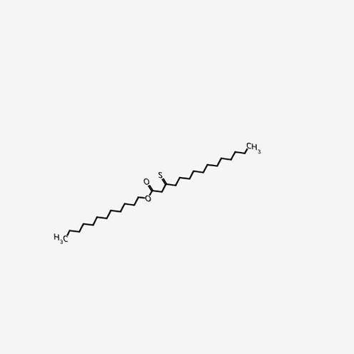 CCCCCCCCCCCCOC(=O)CC(=S)CCCCCCCCCCCC